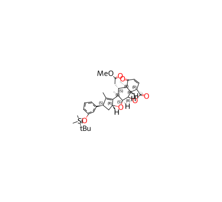 COC(=O)C[C@H]1[C@]2(C)C3=C(C)[C@H](c4cccc(O[Si](C)(C)C(C)(C)C)c4)C[C@H]3O[C@@H]2[C@@H]2OC(=O)[C@]3(C)C=CC(=O)[C@@]1(C)[C@@H]23